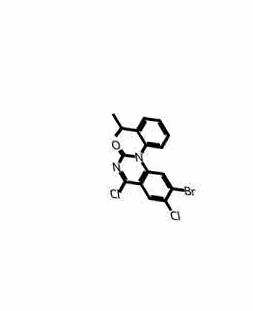 CC(C)c1ccccc1-n1c(=O)nc(Cl)c2cc(Cl)c(Br)cc21